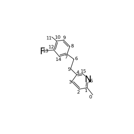 Cc1ccc(CCc2ccc(C)c(F)c2)cn1